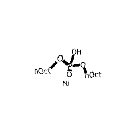 CCCCCCCCOP(=O)(O)OCCCCCCCC.[Ni]